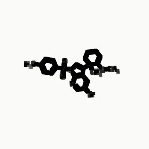 COC1=CC=CCC1(C)c1cn(S(=O)(=O)c2ccc(C)cc2)c2ncc(Br)cc12